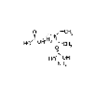 CCN(CC)CC.N.O=C(O)O.O=C(O)O